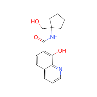 O=C(NC1(CO)CCCC1)c1ccc2cccnc2c1O